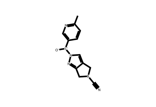 Cc1ccc([S+]([O-])n2cc3c(n2)CB(C#N)C3)cn1